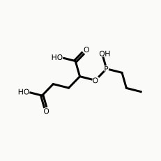 CCCP(O)OC(CCC(=O)O)C(=O)O